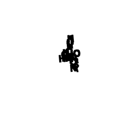 Cc1cc2cnc(Nc3ccc(N4CCN(C)CC4)cn3)cc2n1C.NC=O